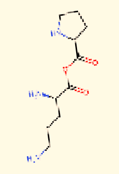 NCCC[C@@H](N)C(=O)OC(=O)[C@@H]1CCCN1